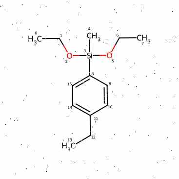 CCO[Si](C)(OCC)c1ccc(CC)cc1